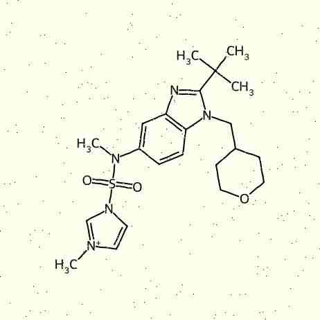 CN(c1ccc2c(c1)nc(C(C)(C)C)n2CC1CCOCC1)S(=O)(=O)n1cc[n+](C)c1